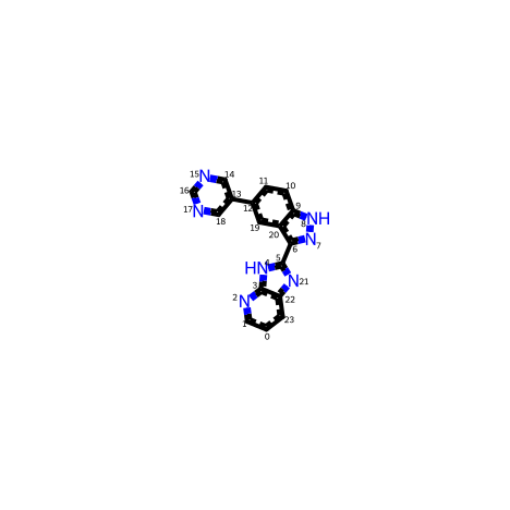 c1cnc2[nH]c(-c3n[nH]c4ccc(-c5cncnc5)cc34)nc2c1